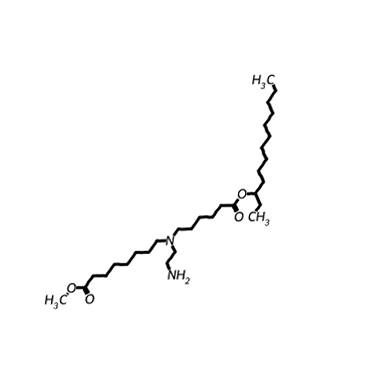 CCCCCCCCCCC(CC)OC(=O)CCCCCN(CCN)CCCCCCCC(=O)OC